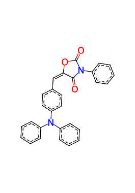 O=C1O/C(=C/c2ccc(N(c3ccccc3)c3ccccc3)cc2)C(=O)N1c1ccccc1